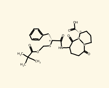 CC(C)(C)C(=O)OCS[C@H](Cc1ccccc1)C(=O)NC1CCC(=O)N2CCC[C@@H](C(=O)O)N2C1=O